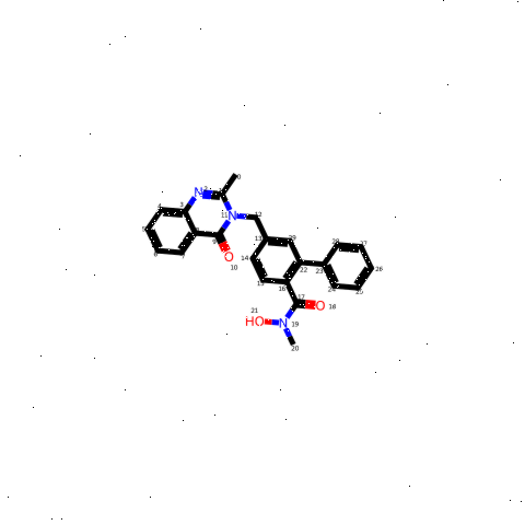 Cc1nc2ccccc2c(=O)n1Cc1ccc(C(=O)N(C)O)c(-c2ccccc2)c1